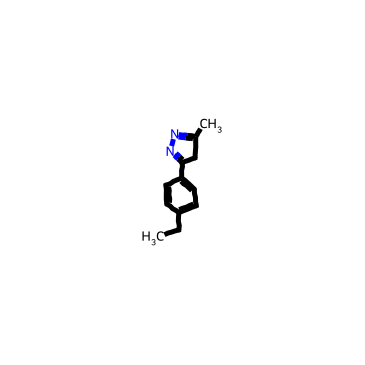 CCc1ccc(C2=NN=C(C)C2)cc1